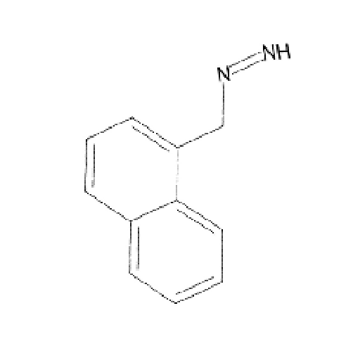 N=NCc1cccc2ccccc12